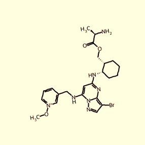 CO[n+]1cccc(CNc2cc(N[C@H]3CCCC[C@H]3COC(=O)[C@@H](C)N)nc3c(Br)cnn23)c1